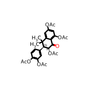 CC(=O)Oc1cc(OC(C)=O)c2c(c1)C(C)(C)[C@H](c1ccc(OC(C)=O)c(OC(C)=O)c1)[C@@H](OC(C)=O)C2=O